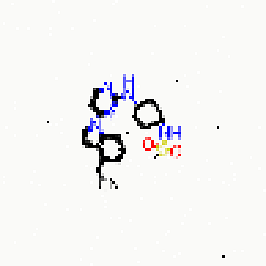 CS(=O)(=O)N[C@H]1CC[C@H](Nc2nccc(-n3ccc4c(CC#N)cccc43)n2)CC1